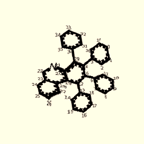 c1ccc(-c2c(-c3ccccc3)c(-c3ccccc3)c3c(ncc4ccccc43)c2-c2ccccc2)cc1